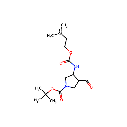 C[SiH](C)CCOC(=O)NC1CN(C(=O)OC(C)(C)C)CC1C=O